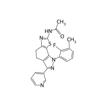 CC(=O)Nc1nc2c(s1)-c1c(c(-c3cccnc3)nn1-c1cccc(C)c1F)CC2